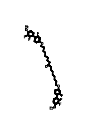 CCOc1ccc(-c2ccc(OCCCCCCCCC(=O)CCCCCCCCOc3ccc(-c4ccc(OCC)c(F)c4F)c(F)c3)cc2F)c(F)c1F